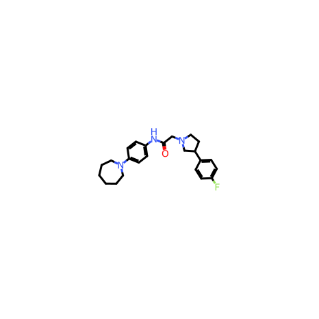 O=C(CN1CCC(c2ccc(F)cc2)C1)Nc1ccc(N2CCCCCC2)cc1